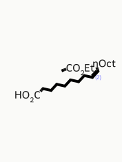 CCCCCCCC/C=C\CCCCCCCC(=O)O.CCOC(C)=O